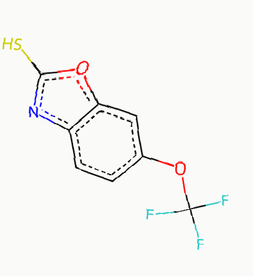 FC(F)(F)Oc1ccc2nc(S)oc2c1